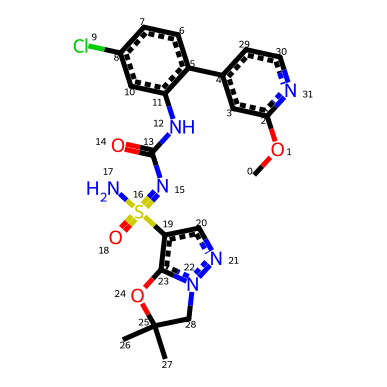 COc1cc(-c2ccc(Cl)cc2NC(=O)N=S(N)(=O)c2cnn3c2OC(C)(C)C3)ccn1